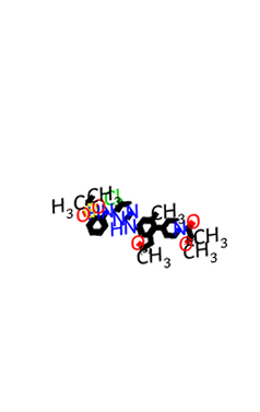 CO[C@@H](C)C(=O)N1CCC(c2c(C)cc(Nc3ncc(Cl)c(Nc4ccccc4S(=O)(=O)C(C)C)n3)c3c2C[C@H](C)O3)CC1